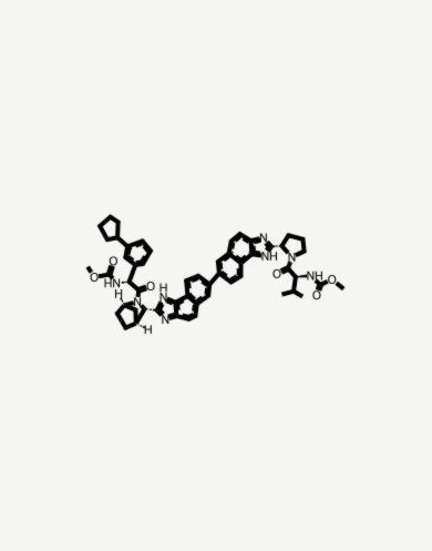 COC(=O)N[C@H](C(=O)N1CCC[C@H]1c1nc2ccc3cc(-c4ccc5c(ccc6nc([C@@H]7[C@H]8CC[C@H](C8)N7C(=O)[C@H](NC(=O)OC)c7cccc(C8CCCC8)c7)[nH]c65)c4)ccc3c2[nH]1)C(C)C